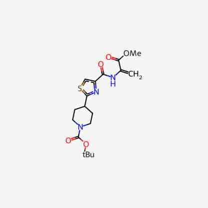 C=C(NC(=O)c1csc(C2CCN(C(=O)OC(C)(C)C)CC2)n1)C(=O)OC